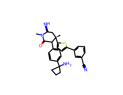 CN1C(=N)C[C@](C)(c2ccc(-c3cccc(C#N)c3)s2)C(c2ccc(C3(N)CCC3)cc2)C1=O